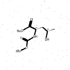 COC(=O)[C@H](C[C@H](C)O)NC(=O)OC(C)(C)C